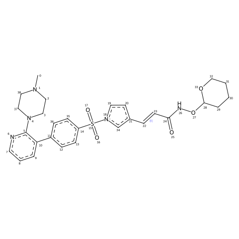 CN1CCN(c2ncccc2-c2ccc(S(=O)(=O)n3ccc(/C=C/C(=O)NOC4CCCCO4)c3)cc2)CC1